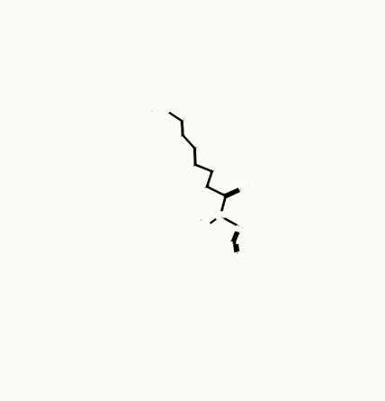 CCCCCCCCCCCCCCC(=O)N(O)N=C=O